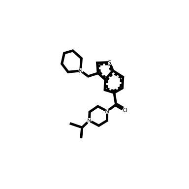 CC(C)N1CCN(C(=O)c2ccc3scc(CN4CCCCC4)c3c2)CC1